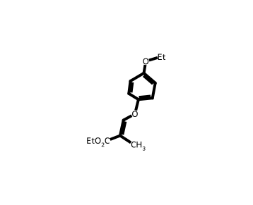 CCOC(=O)/C(C)=C/Oc1ccc(OCC)cc1